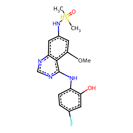 COc1cc(N[SH](C)(C)=O)cc2ncnc(Nc3ccc(F)cc3O)c12